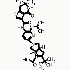 CC(C)Oc1nc(N2C[C@@H]3CC(C(C)(C)C)N(C(=O)O)[C@@H]3C2)ccc1NC(=O)c1coc2c1C(=O)NC(C)(C)C2